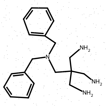 NCC(CN)(CN)CN(Cc1ccccc1)Cc1ccccc1